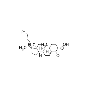 CC(C)CCC[C@@H](C)[C@H]1CC[C@H]2[C@@H]3CC=C4C([O])[C@H](OO)CC[C@]4(C)[C@H]3CC[C@]12C